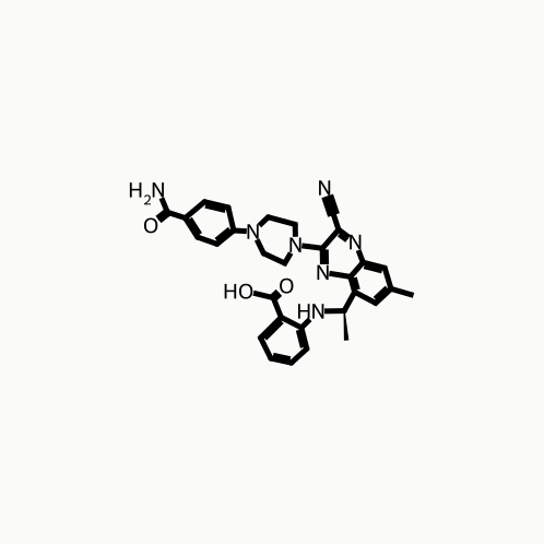 Cc1cc([C@@H](C)Nc2ccccc2C(=O)O)c2nc(N3CCN(c4ccc(C(N)=O)cc4)CC3)c(C#N)nc2c1